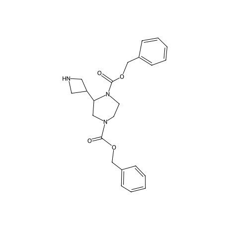 O=C(OCc1ccccc1)N1CCN(C(=O)OCc2ccccc2)C(C2CNC2)C1